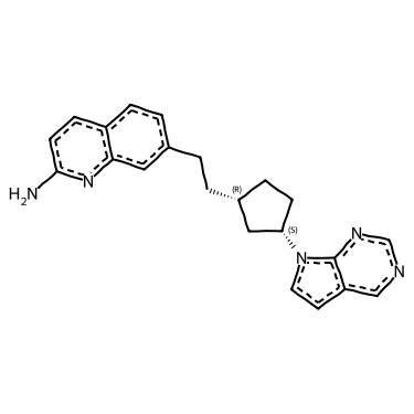 Nc1ccc2ccc(CC[C@@H]3CC[C@H](n4ccc5cncnc54)C3)cc2n1